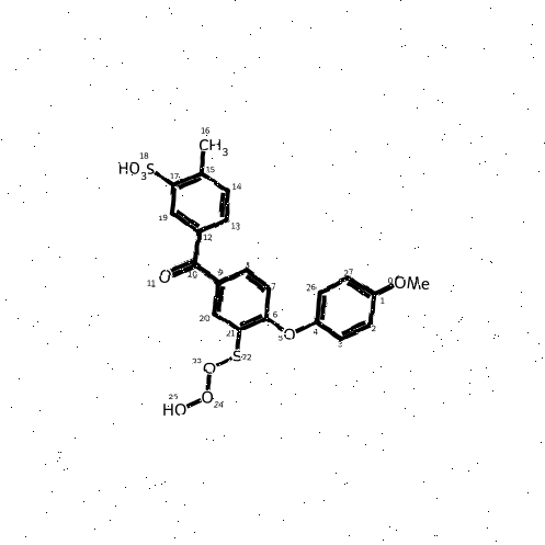 COc1ccc(Oc2ccc(C(=O)c3ccc(C)c(S(=O)(=O)O)c3)cc2SOOO)cc1